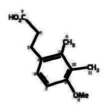 COc1ccc(CCC(=O)O)c(C)c1C